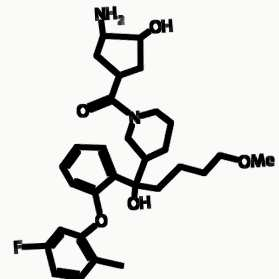 COCCCCC(O)(c1ccccc1Oc1cc(F)ccc1C)C1CCCN(C(=O)C2CC(N)C(O)C2)C1